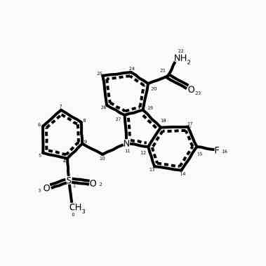 CS(=O)(=O)c1ccccc1Cn1c2ccc(F)[c]c2c2c(C(N)=O)cccc21